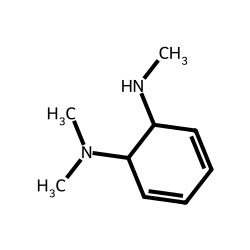 CNC1C=CC=CC1N(C)C